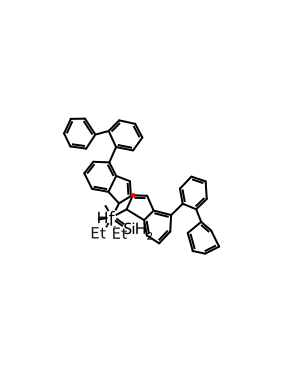 C[CH2][Hf]([CH3])([CH3])(=[SiH2])([CH2]C)([CH]1C=Cc2c(-c3ccccc3-c3ccccc3)cccc21)[CH]1C=Cc2c(-c3ccccc3-c3ccccc3)cccc21